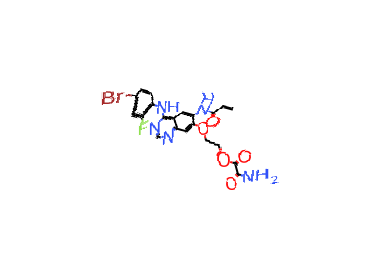 C=CC(=O)Nc1cc2c(Nc3ccc(Br)cc3F)ncnc2cc1OCCOC(=O)C(N)=O